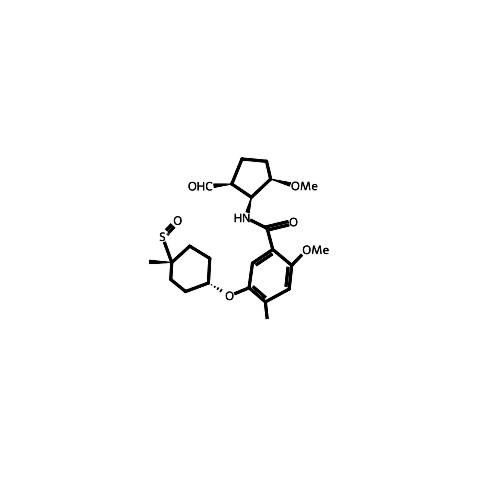 COc1cc(C)c(O[C@H]2CC[C@@](C)([S+]=O)CC2)cc1C(=O)N[C@H]1[C@@H](C=O)CC[C@H]1OC